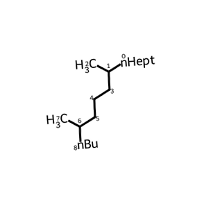 CCCCCCCC(C)CCCC(C)CCCC